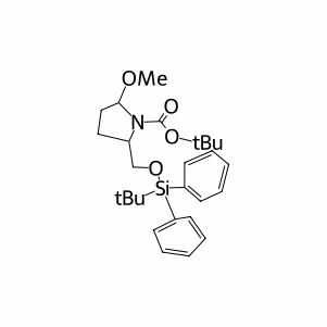 COC1CCC(CO[Si](c2ccccc2)(c2ccccc2)C(C)(C)C)N1C(=O)OC(C)(C)C